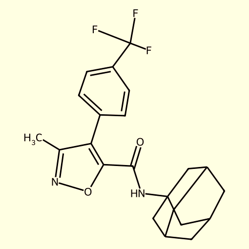 Cc1noc(C(=O)NC23CC4CC(CC(C4)C2)C3)c1-c1ccc(C(F)(F)F)cc1